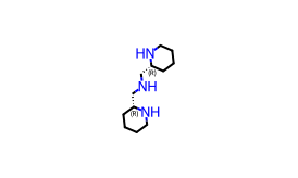 C1CC[C@H](CNC[C@H]2CCCCN2)NC1